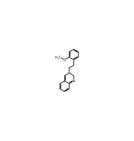 COc1ccccc1CCN1C=c2ccccc2=NC1